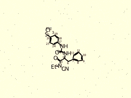 CCN(C#N)C(=O)C(Cc1ccccc1)NC(=O)Nc1ccc(SC(F)(F)F)cc1